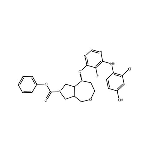 N#Cc1ccc(Nc2ncnc(O[C@H]3CCOCC4CN(C(=O)Oc5ccccc5)CC43)c2F)c(Cl)c1